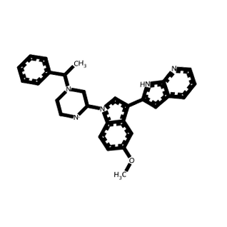 COc1ccc2c(c1)c(-c1cc3cccnc3[nH]1)cn2C1CN(C(C)c2ccccc2)CC[N]1